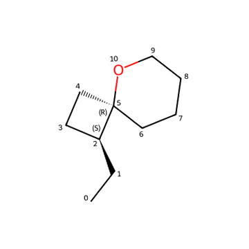 CC[C@H]1CC[C@]12CCCCO2